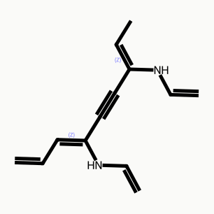 C=C/C=C(/C#C/C(=C/C)NC=C)NC=C